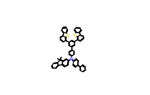 CC1(C)c2ccccc2-c2ccc(N(c3ccc(-c4ccccc4)cc3)c3ccc(-c4cc(-c5cccc6c5sc5ccccc56)cc(-c5cccc6c5sc5ccccc56)c4)cc3)cc21